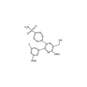 COc1cc(F)cc(-c2nc(OC)c(CO)cc2-c2ccc(S(N)(=O)=O)cc2)c1